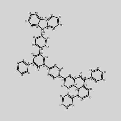 c1ccc(-c2nc(-c3ccc(-c4ccc5c(c4)nc(-c4ccccc4)c4cccc(-c6ccccc6)c45)cc3)cc(-c3ccc(-n4c5ccccc5c5ccccc54)cc3)n2)cc1